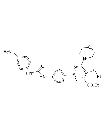 CCOC(=O)c1nc(-c2ccc(NC(=O)Nc3ccc(NC(C)=O)cc3)cc2)nc(N2CCOCC2)c1OCC